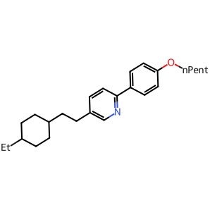 CCCCCOc1ccc(-c2ccc(CCC3CCC(CC)CC3)cn2)cc1